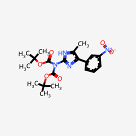 Cc1[nH]c(N(C(=O)OC(C)(C)C)C(=O)OC(C)(C)C)nc1-c1cccc([N+](=O)[O-])c1